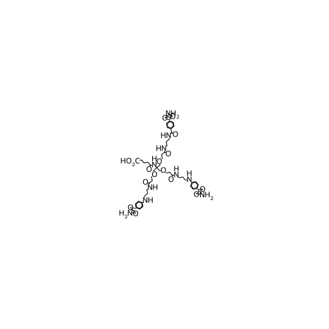 NS(=O)(=O)c1ccc(NCCCNC(=O)CCOCC(COCCC(=O)NCCCNC(=O)c2ccc(S(N)(=O)=O)cc2)(COCCC(=O)NCCCNc2ccc(S(N)(=O)=O)cc2)NC(=O)CCCC(=O)O)cc1